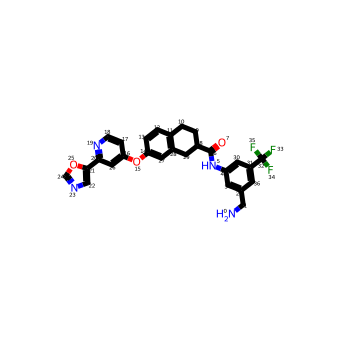 NCc1cc(NC(=O)C2CCc3ccc(Oc4ccnc(-c5cnco5)c4)cc3C2)cc(C(F)(F)F)c1